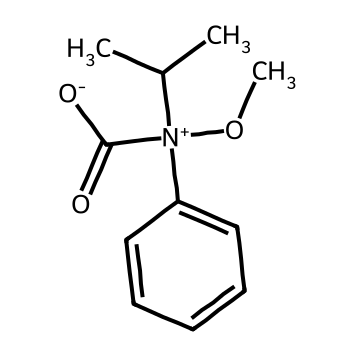 CO[N+](C(=O)[O-])(c1ccccc1)C(C)C